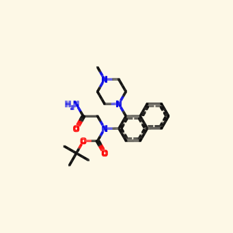 CN1CCN(c2c(N(CC(N)=O)C(=O)OC(C)(C)C)ccc3ccccc23)CC1